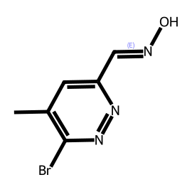 Cc1cc(/C=N/O)nnc1Br